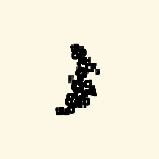 CC(C)(C)OC(=O)NC[C@H]1CN(c2c(F)cc3c(=O)n(NC(=O)OC(C)(C)C)c(=O)n(C4CC4)c3c2Cl)C[C@@H]1C(F)(F)F